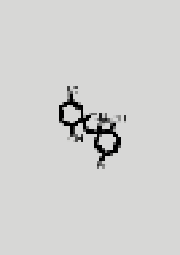 CCC1=CC(CC2(C(C)(C)C)C=C(CC)C=CC2O)(C(C)(C)C)C(O)C=C1